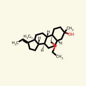 CC=C1CC[C@H]2[C@@H]3CC[C@@H]4CC(C)(O)CC[C@]4(COCC)[C@H]3CC[C@]12C